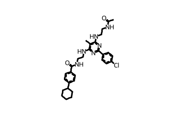 CC(=O)NCCNc1nc(-c2ccc(Cl)cc2)nc(NCCNC(=O)c2ccc(C3CCCCC3)cc2)c1C